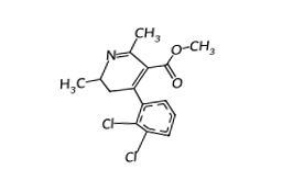 COC(=O)C1=C(c2cccc(Cl)c2Cl)CC(C)N=C1C